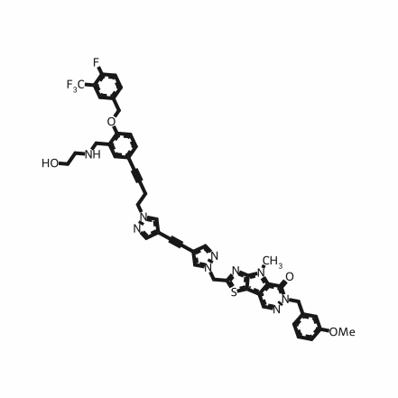 COc1cccc(Cn2ncc3c4sc(Cn5cc(C#Cc6cnn(CCC#Cc7ccc(OCc8ccc(F)c(C(F)(F)F)c8)c(CNCCO)c7)c6)cn5)nc4n(C)c3c2=O)c1